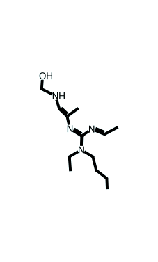 C/C=N/C(=N\C(C)=C\NCO)N(CC)CCCC